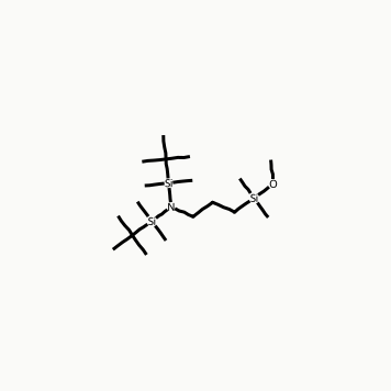 CO[Si](C)(C)CCCN([Si](C)(C)C(C)(C)C)[Si](C)(C)C(C)(C)C